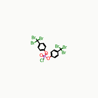 O=P(Cl)(Oc1ccc(C(Br)(Br)Br)cc1)Oc1ccc(C(Br)(Br)Br)cc1